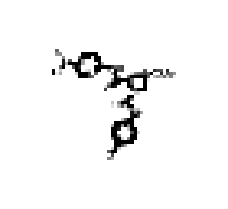 CCN(C(C)=O)c1ccc(NC(=O)[C@H]2C[C@@H](OC)CN2C(=O)Nc2ccc(Cl)cc2)nc1